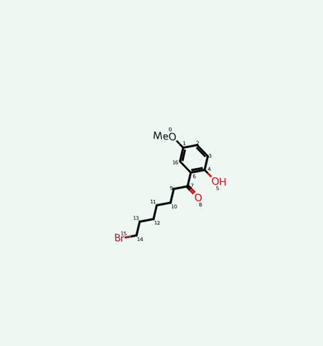 COc1ccc(O)c(C(=O)CCCCCCBr)c1